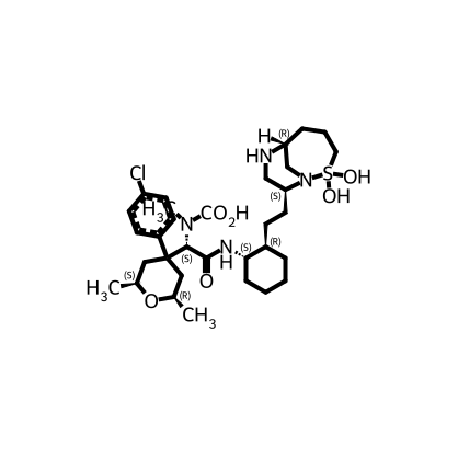 C[C@@H]1CC(c2ccc(Cl)cc2)([C@@H](C(=O)N[C@H]2CCCC[C@@H]2CC[C@H]2CN[C@@H]3CCCS(O)(O)N2C3)N(C)C(=O)O)C[C@H](C)O1